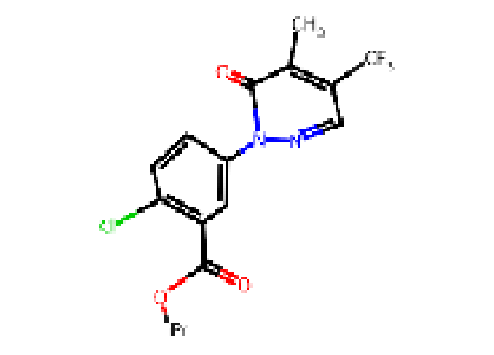 Cc1c(C(F)(F)F)cnn(-c2ccc(Cl)c(C(=O)OC(C)C)c2)c1=O